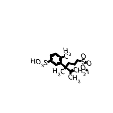 C=C(C)C(C)(CCCS(=O)(=O)OI)c1cc(S(=O)(=O)O)ccc1C